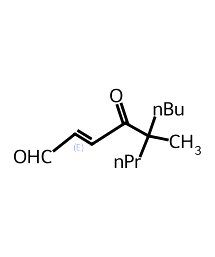 CCCCC(C)(CCC)C(=O)/C=C/C=O